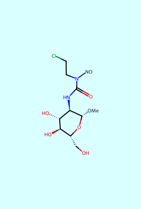 CO[C@@H]1O[C@H](CO)[C@@H](O)[C@H](O)[C@H]1NC(=O)N(CCCl)N=O